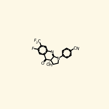 N#Cc1ccc(N2CC[C@@]3(O)C(=O)c4cc(F)c(C(F)(F)F)cc4N=C23)cc1